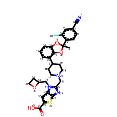 CC1(c2ccc(C#N)cc2F)Oc2cccc(C3CCN(Cc4nc5sc(C(=O)O)cc5n4CC4CCO4)CC3)c2O1